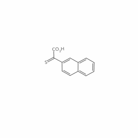 O=C(O)C(=S)c1ccc2ccccc2c1